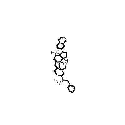 CN(Cc1ccccc1)[C@@H]1C=CC2=CC3=CC[C@]4(C)[C@@H](c5ccc6ccncc6c5)CC[C@H]4[C@@]34CC[C@@]2(CO4)C1